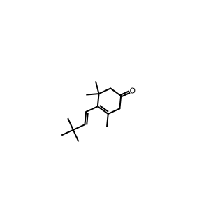 CC1=C(/C=C/C(C)(C)C)C(C)(C)CC(=O)C1